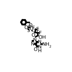 Nc1nc2c(ncn2[C@@H]2O[C@@](COP3(=S)OCc4ccccc4O3)(C(F)F)C(F)(F)[C@@H]2O)c(=O)[nH]1